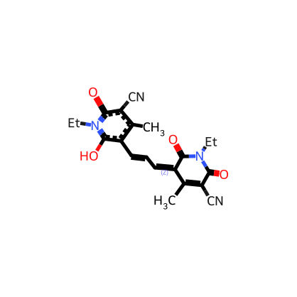 CCN1C(=O)C(C#N)=C(C)/C(=C/C=Cc2c(C)c(C#N)c(=O)n(CC)c2O)C1=O